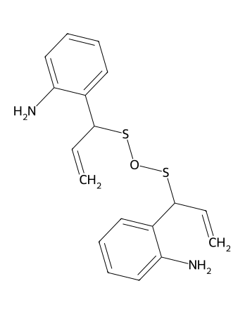 C=CC(SOSC(C=C)c1ccccc1N)c1ccccc1N